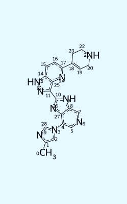 Cc1cn(-c2cncc3[nH]c(-c4n[nH]c5ccc(C6=CCNCC6)nc45)nc23)cn1